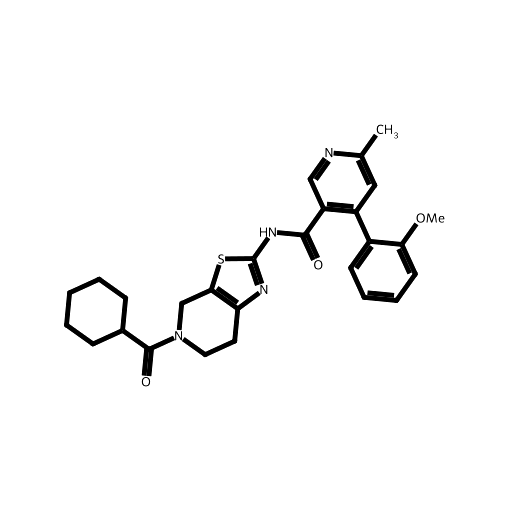 COc1ccccc1-c1cc(C)ncc1C(=O)Nc1nc2c(s1)CN(C(=O)C1CCCCC1)CC2